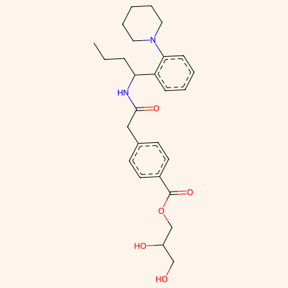 CCCC(NC(=O)Cc1ccc(C(=O)OCC(O)CO)cc1)c1ccccc1N1CCCCC1